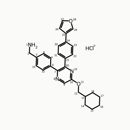 Cl.NCc1ccc(-c2ncc(OCC3CCCCC3)nc2-c2ccc(-c3ccoc3)cc2)cc1